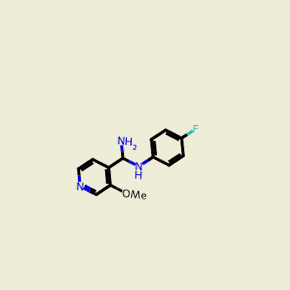 COc1cnccc1C(N)Nc1ccc(F)cc1